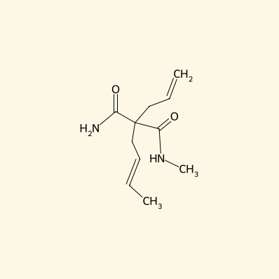 C=CCC(CC=CC)(C(N)=O)C(=O)NC